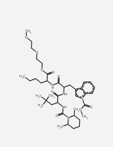 CCCCC(NC(=O)C(Cc1cn(C(=O)OC)c2ccccc12)NC(=O)C(CC(C)(C)C)NC(=O)N1C(C)CCCC1C)C(=O)OCCOCCOC